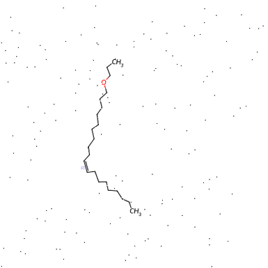 CCCCCCCC/C=C\CCCCCCCCCOCCC